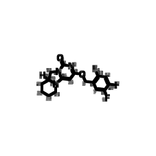 O=c1nc(OCc2cc(F)c(F)cc2F)cc2n1C[C@H]1CCCCN21